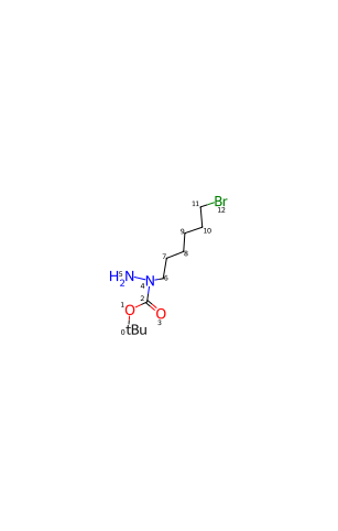 CC(C)(C)OC(=O)N(N)CCCCCCBr